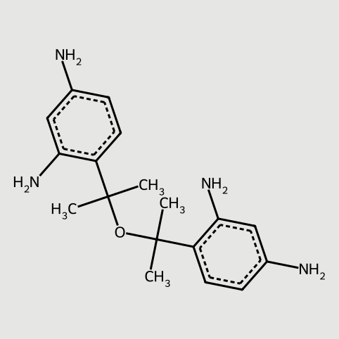 CC(C)(OC(C)(C)c1ccc(N)cc1N)c1ccc(N)cc1N